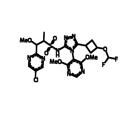 COc1ncnc(OC)c1-n1c(NS(=O)(=O)C(C)C(OC)c2ncc(Cl)cn2)nnc1C1CC(OC(F)F)C1